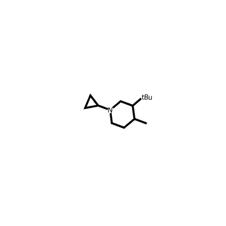 CC1CCN(C2CC2)CC1C(C)(C)C